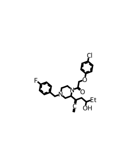 C=C=C(CC(O)CC)C1CN(Cc2ccc(F)cc2)CCN1C(=O)COc1ccc(Cl)cc1